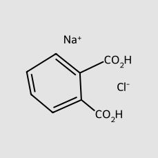 O=C(O)c1ccccc1C(=O)O.[Cl-].[Na+]